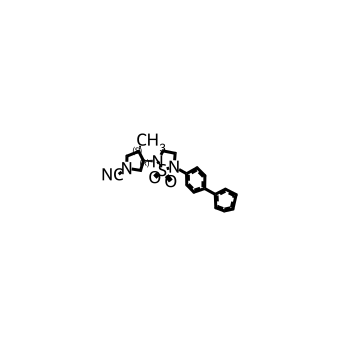 C[C@H]1CN(C#N)C[C@@H]1N1CCN(c2ccc(-c3ccccc3)cc2)S1(=O)=O